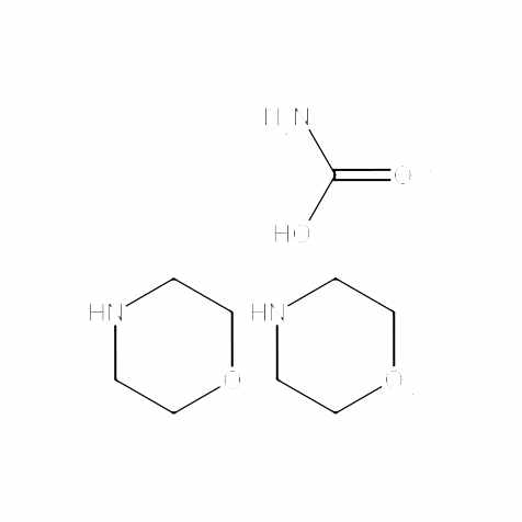 C1COCCN1.C1COCCN1.NC(=O)O